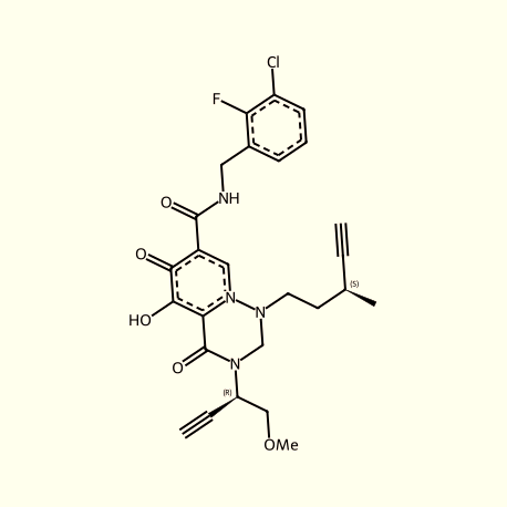 C#C[C@@H](C)CCN1CN([C@H](C#C)COC)C(=O)c2c(O)c(=O)c(C(=O)NCc3cccc(Cl)c3F)cn21